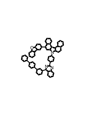 c1ccc(-c2ccc(-c3cccc(-c4nc(-c5ccc(-n6c7ccc8ccccc8c7c7c8ccccc8c(-c8ccc9oc%10ccccc%10c9c8)cc76)cc5)nc5ccccc45)c3)cc2)cc1